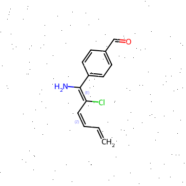 C=C/C=C\C(Cl)=C(/N)c1ccc(C=O)cc1